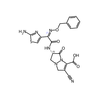 N#CC1=C(C(=O)O)N2C(=O)[C@@H](NC(=O)/C(=N\OCc3ccccc3)c3csc(N)n3)CN2C1